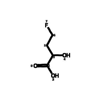 O=C(O)C(O)CCF